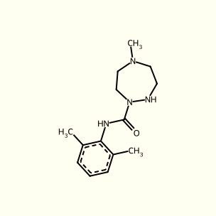 Cc1cccc(C)c1NC(=O)N1CCN(C)CCN1